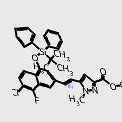 COC(=O)c1cc(/C=C/c2cc(O[Si](c3ccccc3)(c3ccccc3)C(C)(C)C)c3ccc(Cl)c(F)c3c2)n(C)n1